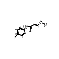 CCO/C=C/C(=O)Nc1ccc(I)cc1